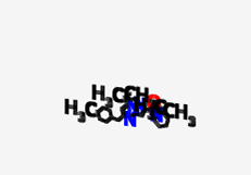 CC1CCC(Cc2cc(C(C)C)n3nc(C(=O)N4CCCCC4(C)C)cc3n2)CC1